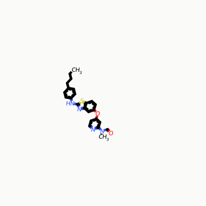 CCCCc1ccc(Nc2nc3cc(Oc4ccnc(N(C)C=O)c4)ccc3s2)cc1